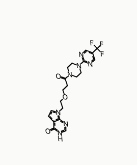 O=C(CCOCCn1ccc2c(=O)[nH]cnc21)N1CCN(c2ncc(C(F)(F)F)cn2)CC1